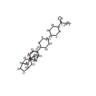 CC(C)C(=O)C1CCC(N2CCC(c3cnc(N4C5CCC4CN(C(C)C)C5)nc3)CC2)CC1